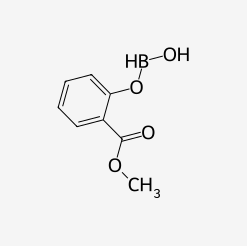 COC(=O)c1ccccc1OBO